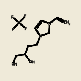 C=CN1C=CN(CCC(O)CO)C1.F[B-](F)(F)F